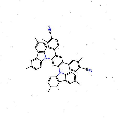 Cc1ccc2c(c1)c1cc(C)ccc1n2-c1cc(-n2c3ccc(C)cc3c3cc(C)ccc32)c(-c2ccc(C#N)c(C)c2)cc1-c1ccc(C#N)c(C)c1